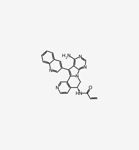 C=CC(=O)N[C@@H]1Cn2c(c(-c3cnc4ccccc4c3)c3c(N)ncnc32)-c2cnccc21